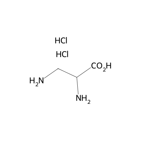 Cl.Cl.NCC(N)C(=O)O